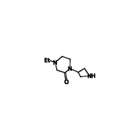 CCN1CCN(C2CNC2)C(=O)C1